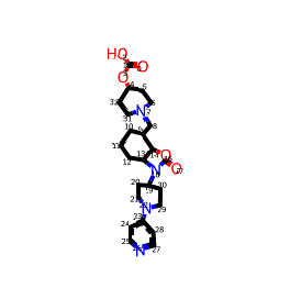 O=C(O)OC1CCN(CC2CCCC3C2OC(=O)N3C2CCN(c3ccncc3)CC2)CC1